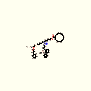 CCCCCCC(CSCCCCCC(CCCCCOC(=O)C1CCCCCCCCCCCCCC1)NCCCCO[Si](c1ccccc1)(c1ccccc1)C(C)(C)C)OC(=O)CCC1CCCCC1